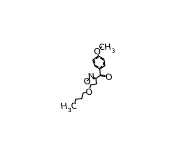 CCCCOC1CC(C(=O)c2ccc(OC)cc2)=NO1